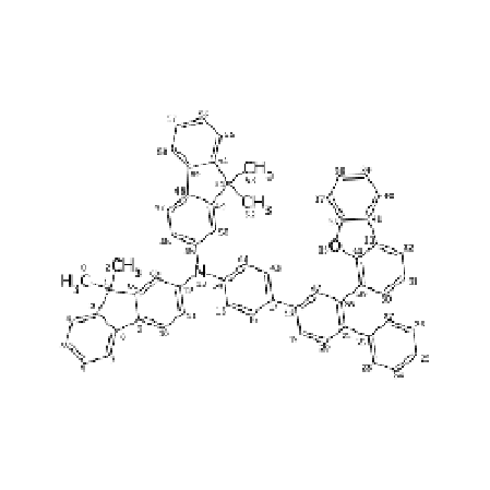 CC1(C)c2ccccc2-c2ccc(N(c3ccc(-c4ccc(-c5ccccc5)c(-c5cccc6c5oc5ccccc56)c4)cc3)c3ccc4c(c3)C(C)(C)c3ccccc3-4)cc21